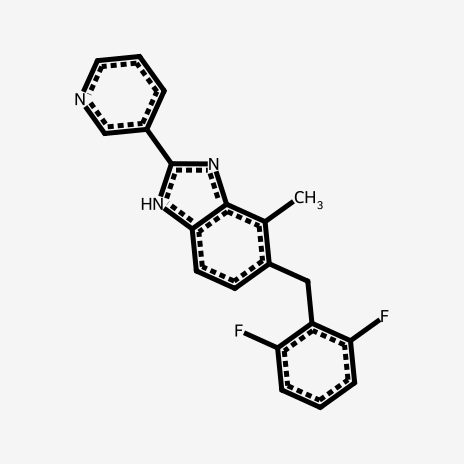 Cc1c(Cc2c(F)cccc2F)ccc2[nH]c(-c3cccnc3)nc12